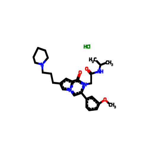 COc1cccc(-c2cn3cc(CCCN4CCCCC4)cc3c(=O)n2CC(=O)NC(C)C)c1.Cl